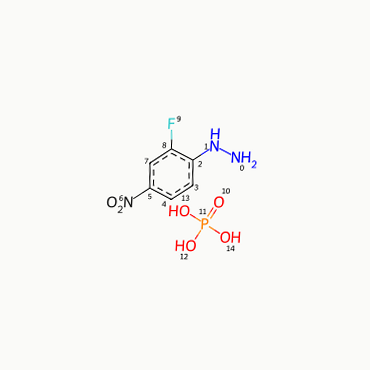 NNc1ccc([N+](=O)[O-])cc1F.O=P(O)(O)O